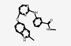 CNC(=O)c1cccc(Nc2nccc(Oc3ccc4[nH]c(C)cc4c3)n2)c1